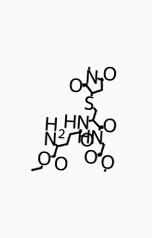 CCOC(=O)C(N)CCC(=O)NC(CSC1CC(=O)N(C)C1=O)C(=O)NCC(=O)OC